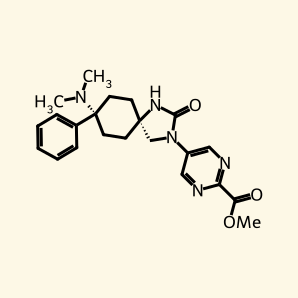 COC(=O)c1ncc(N2C[C@]3(CC[C@@](c4ccccc4)(N(C)C)CC3)NC2=O)cn1